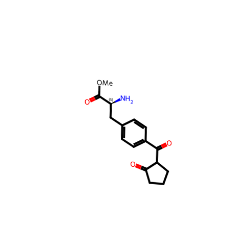 COC(=O)[C@@H](N)Cc1ccc(C(=O)C2CCCC2=O)cc1